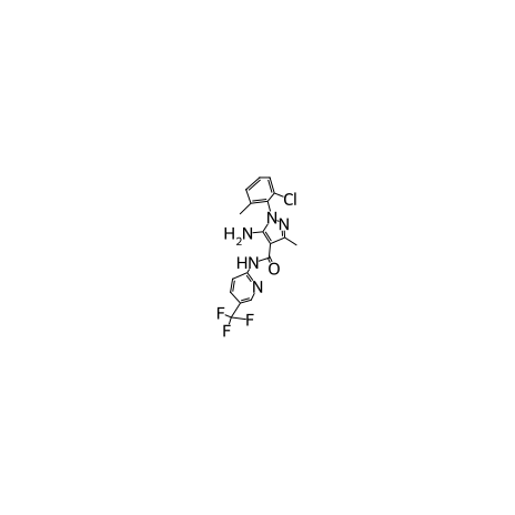 Cc1cccc(Cl)c1-n1nc(C)c(C(=O)Nc2ccc(C(F)(F)F)cn2)c1N